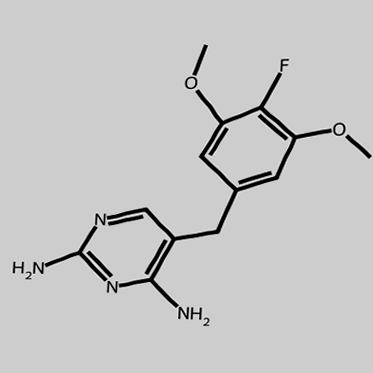 COc1cc(Cc2cnc(N)nc2N)cc(OC)c1F